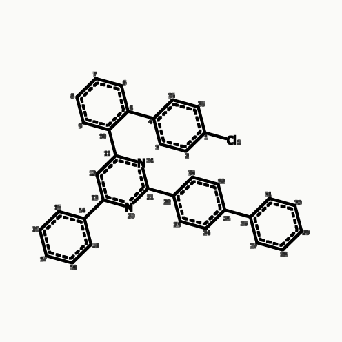 Clc1ccc(-c2ccccc2-c2cc(-c3ccccc3)nc(-c3ccc(-c4ccccc4)cc3)n2)cc1